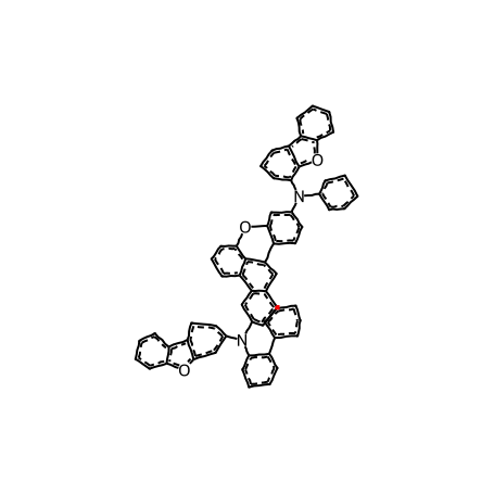 c1ccc(-c2ccccc2N(c2ccc3c(c2)oc2ccccc23)c2ccc3cc4c5c(cccc5c3c2)Oc2cc(N(c3ccccc3)c3cccc5c3oc3ccccc35)ccc2-4)cc1